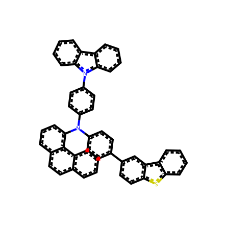 c1ccc2c(c1)ccc1cccc(N(c3ccc(-c4ccc5sc6ccccc6c5c4)cc3)c3ccc(-n4c5ccccc5c5ccccc54)cc3)c12